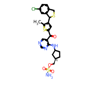 Cc1sc(C(=O)c2cncnc2NC2CC[C@@H](COS(N)(=O)=O)C2)cc1C1SCc2ccc(Cl)cc21